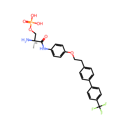 C[C@](N)(COP(=O)(O)O)C(=O)Nc1ccc(OCCc2ccc(-c3ccc(C(F)(F)F)cc3)cc2)cc1